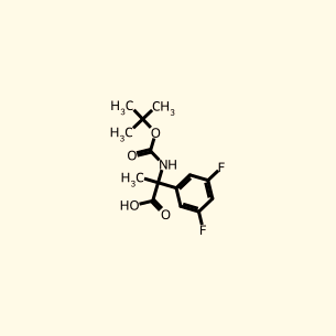 CC(C)(C)OC(=O)NC(C)(C(=O)O)c1cc(F)cc(F)c1